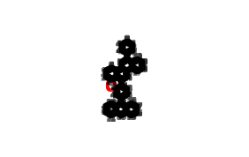 c1ccc(-c2cc3c4cccc5c4c(cc3c3ccccc23)-c2ccc(-c3c4ccccc4cc4ccccc34)cc2O5)cc1